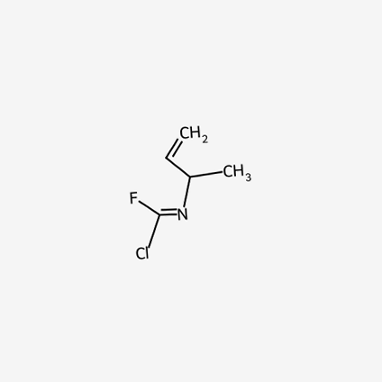 C=CC(C)/N=C(\F)Cl